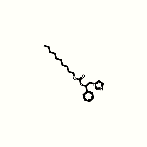 CCCCCCCCCCOC(=O)SC(Cn1ccnc1)c1ccccc1